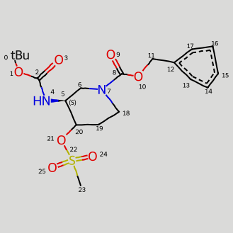 CC(C)(C)OC(=O)N[C@H]1CN(C(=O)OCc2ccccc2)CCC1OS(C)(=O)=O